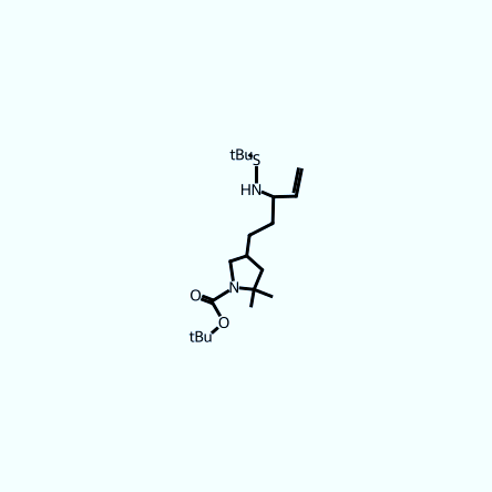 C=CC(CCC1CN(C(=O)OC(C)(C)C)C(C)(C)C1)NSC(C)(C)C